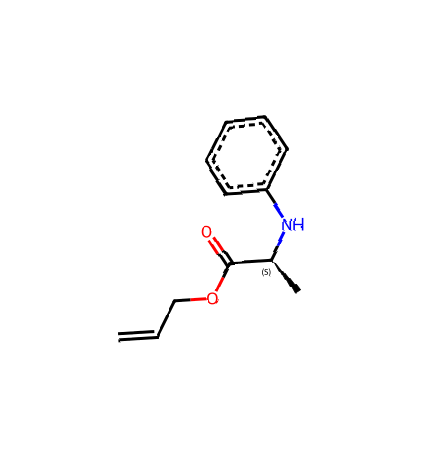 C=CCOC(=O)[C@H](C)Nc1ccccc1